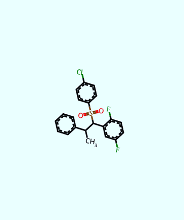 CC(c1ccccc1)C(c1cc(F)ccc1F)S(=O)(=O)c1ccc(Cl)cc1